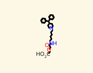 O=C(O)COCC(=O)NCCCCCCN1CCC(C(c2ccccc2)c2ccccc2)CC1